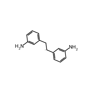 Nc1cccc([CH]Cc2cccc(N)c2)c1